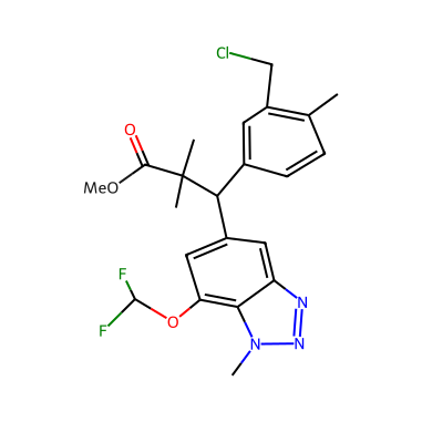 COC(=O)C(C)(C)C(c1ccc(C)c(CCl)c1)c1cc(OC(F)F)c2c(c1)nnn2C